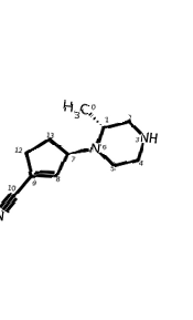 C[C@@H]1CNCCN1[C@H]1C=C(C#N)CC1